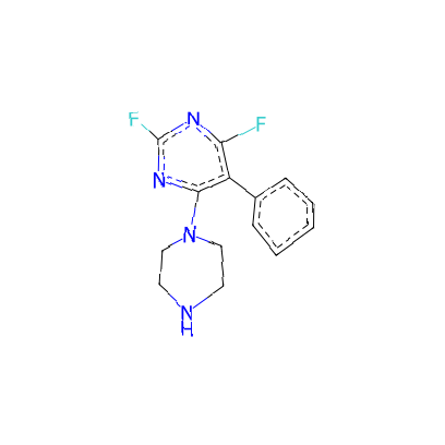 Fc1nc(F)c(-c2ccccc2)c(N2CCNCC2)n1